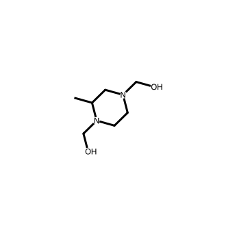 CC1CN(CO)CCN1CO